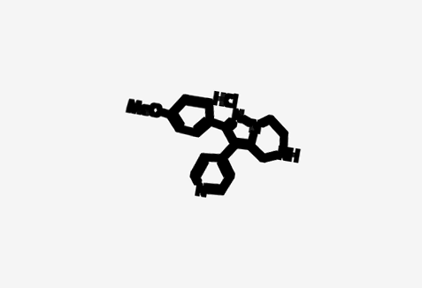 COc1ccc(-c2nn3c(c2-c2ccncc2)CNCC3)cc1.Cl